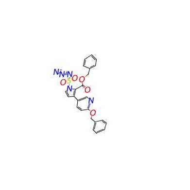 [N-]=[N+]=NS(=O)(=O)n1ccc(-c2ccc(OCc3ccccc3)nc2)c1C(=O)OCc1ccccc1